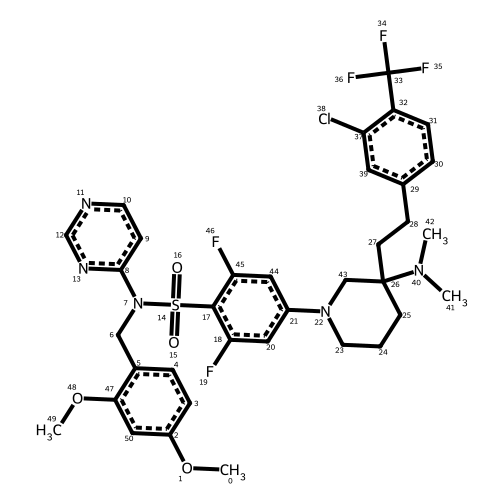 COc1ccc(CN(c2ccncn2)S(=O)(=O)c2c(F)cc(N3CCCC(CCc4ccc(C(F)(F)F)c(Cl)c4)(N(C)C)C3)cc2F)c(OC)c1